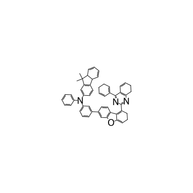 CC1(C)c2cc(N(c3ccccc3)c3cccc(-c4ccc5c6c(oc5c4)=CCCC=6c4nc5c(c(C6=CCCC=C6)n4)C=CCC5)c3)ccc2C2C=CC=CC21